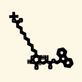 CC(C)(C)OC(=O)CCCCCCCCCCC(=O)N[C@@H](CNC(=O)OCC1c2ccccc2-c2ccccc21)C(=O)O